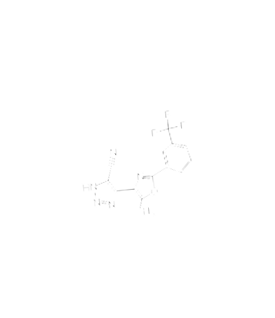 Cc1oc(-c2cccc(C(F)(F)F)c2)nc1-c1nn[nH]c1C#N